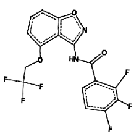 O=C(Nc1noc2cccc(OCC(F)(F)F)c12)c1ccc(F)c(F)c1F